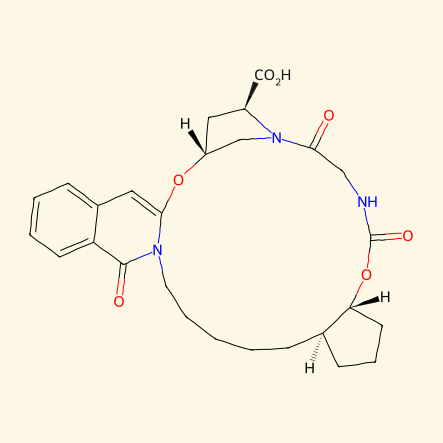 O=C1NCC(=O)N2C[C@@H](C[C@H]2C(=O)O)Oc2cc3ccccc3c(=O)n2CCCCC[C@@H]2CCC[C@H]2O1